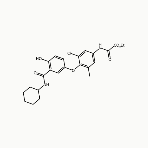 CCOC(=O)C(=O)Nc1cc(C)c(Oc2ccc(O)c(C(=O)NC3CCCCC3)c2)c(Cl)c1